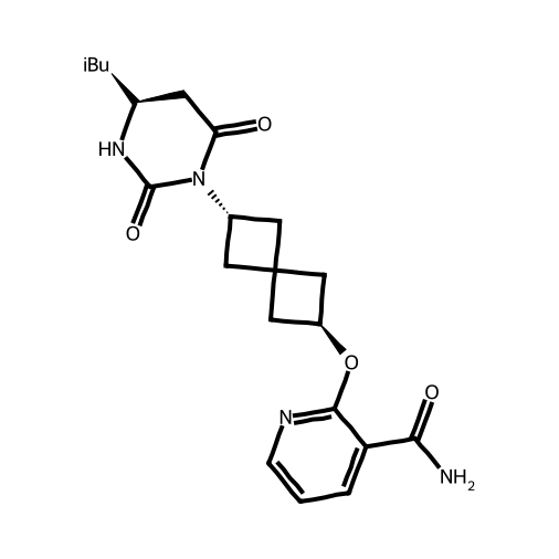 CC[C@H](C)[C@H]1CC(=O)N([C@H]2CC3(C[C@H](Oc4ncccc4C(N)=O)C3)C2)C(=O)N1